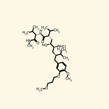 CNC(=O)[C@@H](NC(=O)[C@@H](C[C@H](O)[C@@H](N)C[C@H](Cc1ccc(OC)c(OCCCOC)c1)C(C)C)C(C)C)C(C)C.Cl